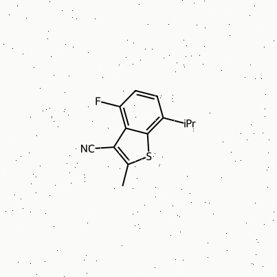 Cc1sc2c(C(C)C)ccc(F)c2c1C#N